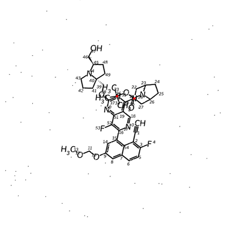 C#Cc1c(F)ccc2cc(OCOC)cc(-c3ncc4c(N5CC6CCC(C5)N6C(=O)OC(C)(C)C)nc(OC[C@]56CCCN5[C@@H](CO)CC6)nc4c3F)c12